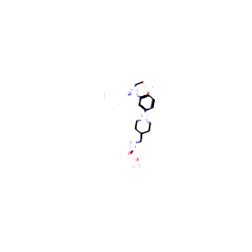 CC(C)(C)OC(=O)NCC1CCN(c2ccc3c(c2)N(C(=O)O)CCO3)CC1